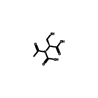 CC(=O)N(C(=O)O)[C@@H](CS)C(=O)O